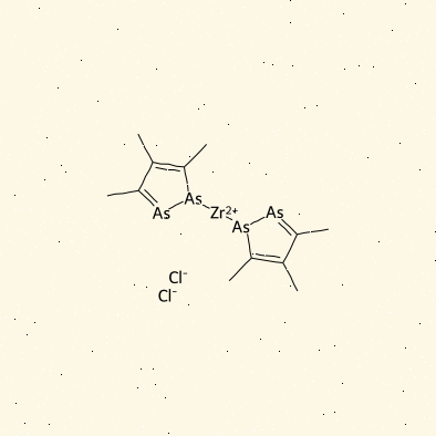 CC1=[As][As]([Zr+2][As]2[As]=C(C)C(C)=C2C)C(C)=C1C.[Cl-].[Cl-]